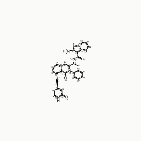 CC(NC(=O)c1c(N)nn2cccnc12)c1cc2cccc(C#Cc3cc[nH]c(=O)c3)c2c(=O)n1-c1ccccc1